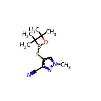 Cn1cc(SB2OC(C)(C)C2(C)C)c(C#N)n1